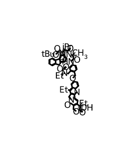 CCc1c2c(nc3ccc(OCc4ccc(NC(=O)[C@H](C)NC(=O)[C@@H](NC(=O)OC(C)(C)C)C(C)C)cc4CN(CC)C(=O)OC4c5ccccc5-c5ccccc54)cc13)-c1cc3c(c(=O)n1C2)COC(=O)[C@]3(O)CC